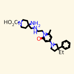 CCC1(c2ccccc2)CCN(c2cc(C)n(CCNCC3(N)CCN(C(=O)O)CC3)c(=O)c2)C1